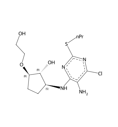 CCCSc1nc(Cl)c(N)c(N[C@H]2CC[C@@H](OCCO)[C@@H]2O)n1